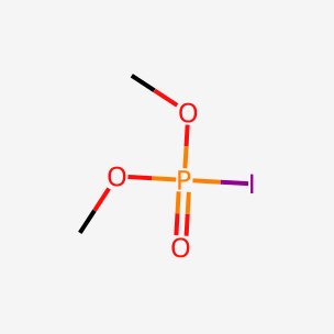 COP(=O)(I)OC